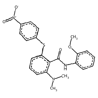 COc1ccccc1NC(=O)c1c(Sc2ccc([N+](=O)[O-])cc2)cccc1N(C)C